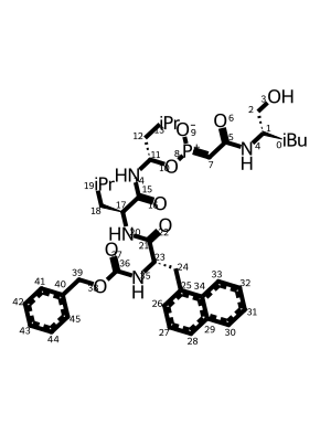 CC[C@H](C)[C@@H](CO)NC(=O)/C=[P+](\[O-])O[C@@H](CC(C)C)NC(=O)[C@H](CC(C)C)NC(=O)[C@H](Cc1cccc2ccccc12)NC(=O)OCc1ccccc1